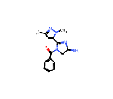 Cc1cc(C2=NC(N)CN2C(=O)c2ccccc2)n(C)n1